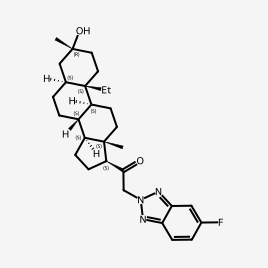 CC[C@]12CC[C@@](C)(O)C[C@@H]1CC[C@H]1[C@@H]3CC[C@H](C(=O)Cn4nc5ccc(F)cc5n4)[C@@]3(C)CC[C@@H]12